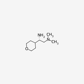 CN(C)C[C@@H](N)C1CCOCC1